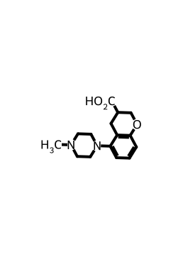 CN1CCN(c2cccc3c2CC(C(=O)O)CO3)CC1